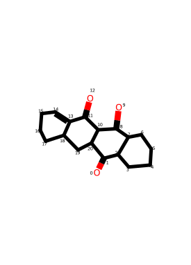 O=C1C2CCCCC2C(=O)C2C(=O)C3=CCCCC3CC12